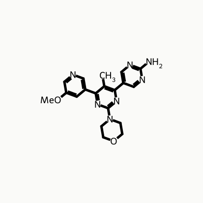 COc1cncc(-c2nc(N3CCOCC3)nc(-c3cnc(N)nc3)c2C)c1